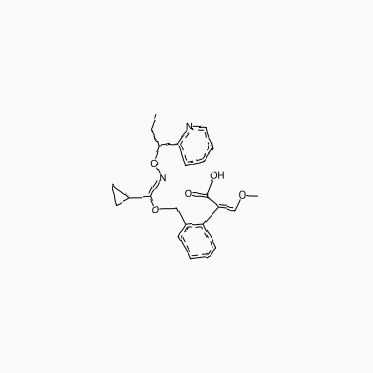 CCC(ON=C(OCc1ccccc1C(=COC)C(=O)O)C1CC1)c1ccccn1